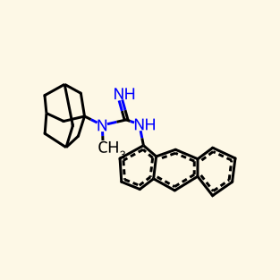 CN(C(=N)Nc1cccc2cc3ccccc3cc12)C12CC3CC(CC(C3)C1)C2